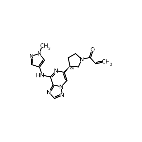 C=CC(=O)N1CC[C@H](c2cn3ncnc3c(Nc3cnn(C)c3)n2)C1